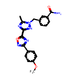 Cc1nc(-c2nc(-c3ccc(OC(F)(F)F)cc3)no2)nn1Cc1cccc(C(N)=O)c1